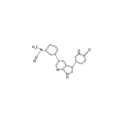 CN(C#N)c1cccc(-c2cnc3[nH]cc(-c4ccc(=O)[nH]c4)c3c2)c1